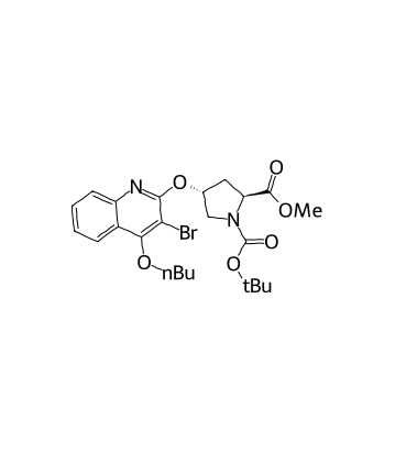 CCCCOc1c(Br)c(O[C@@H]2C[C@@H](C(=O)OC)N(C(=O)OC(C)(C)C)C2)nc2ccccc12